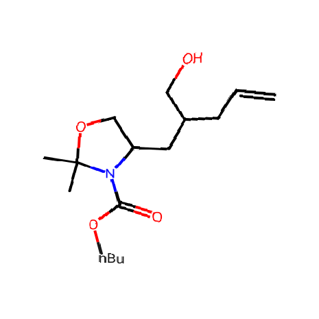 C=CCC(CO)CC1COC(C)(C)N1C(=O)OCCCC